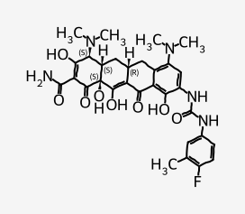 Cc1cc(NC(=O)Nc2cc(N(C)C)c3c(c2O)C(=O)C2=C(O)[C@]4(O)C(=O)C(C(N)=O)=C(O)[C@@H](N(C)C)[C@@H]4C[C@@H]2C3)ccc1F